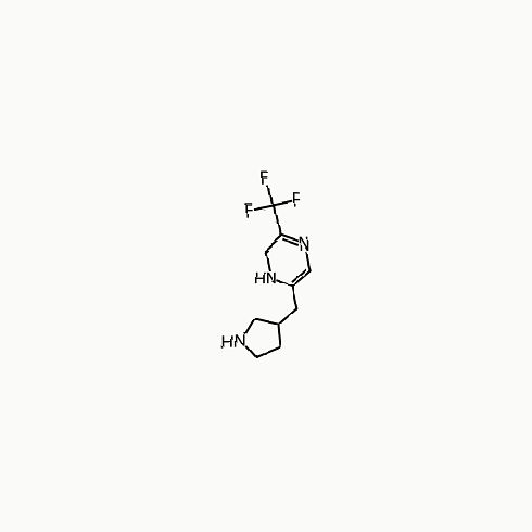 FC(F)(F)C1=NC=C(CC2CCNC2)NC1